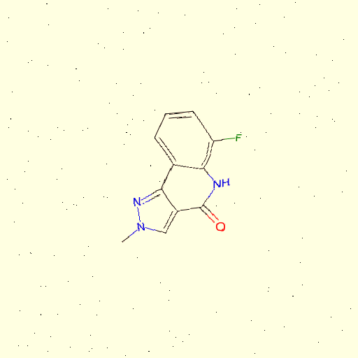 Cn1cc2c(=O)[nH]c3c(F)cccc3c2n1